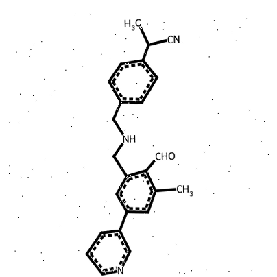 Cc1cc(-c2cccnc2)cc(CNCc2ccc(C(C)C#N)cc2)c1C=O